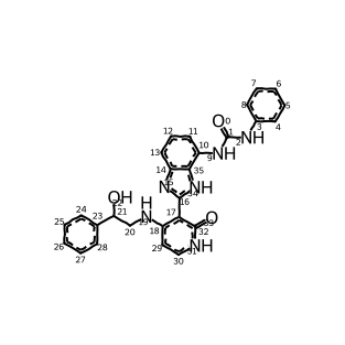 O=C(Nc1ccccc1)Nc1cccc2nc(-c3c(NCC(O)c4ccccc4)cc[nH]c3=O)[nH]c12